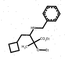 CCOC(=O)C(C)(OCC)C(CC1CCC1)NCc1ccccc1